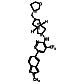 Cn1cc2cc(-c3cc(C(F)(F)F)c(N[C@@H]4C[C@@H]5CN(C[C@@H]6CCOC6)C[C@@H]5C4)nn3)ccc2n1